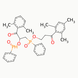 Cc1cc(C)c(C(=O)CCOP(=O)(CC(O[PH](=O)c2ccccc2)C(=O)c2c(C)cccc2C)c2ccccc2)c(C)c1